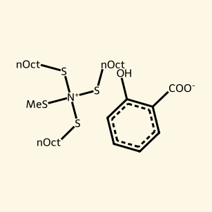 CCCCCCCCS[N+](SC)(SCCCCCCCC)SCCCCCCCC.O=C([O-])c1ccccc1O